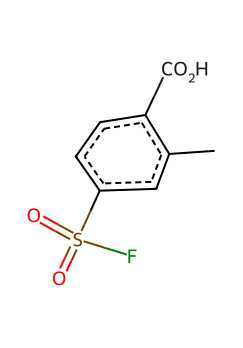 Cc1cc(S(=O)(=O)F)ccc1C(=O)O